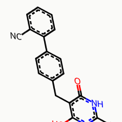 Cc1nc(O)c(Cc2ccc(-c3ccccc3C#N)cc2)c(=O)[nH]1